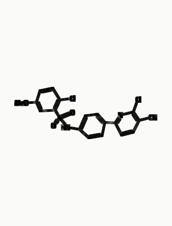 COc1ccc(Cl)c(S(=O)(=O)Nc2ccc(-c3ccc(C#N)c(Cl)n3)cc2)c1